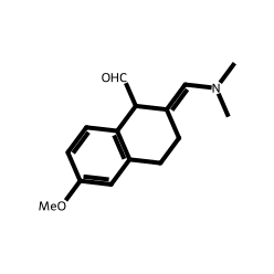 COc1ccc2c(c1)CCC(=CN(C)C)C2C=O